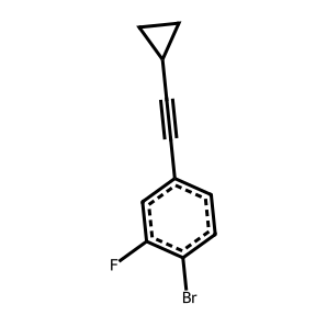 Fc1cc(C#CC2CC2)ccc1Br